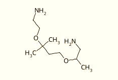 CC(CN)OCCC(C)(C)OCCN